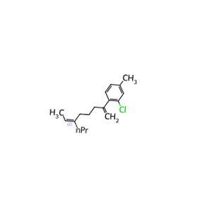 C=C(CCC/C(=C\C)CCC)c1ccc(C)cc1Cl